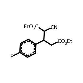 CCOC(=O)CC(c1ccc(F)cc1)C(C#N)C(=O)OCC